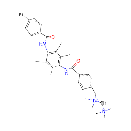 CCc1ccc(C(=O)Nc2c(C)c(C)c(NC(=O)c3ccc(C[N+](C)(C)B[N+](C)(C)C)cc3)c(C)c2C)cc1